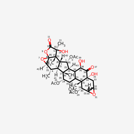 CC(=O)O[C@H]1[C@@H]2[C@H]([C@H](C)[C@H]3O[C@]34OC(=O)[C@@](C)(O)[C@]24C)[C@]2(C)[C@@H]1C1C([C@H](OC(C)=O)[C@@H]2OC(C)=O)[C@@]2(C)[C@@H](OC(C)=O)[C@H]3O[C@H]3C[C@]2(O)C(=O)[C@@H]1O